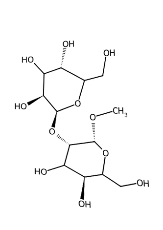 CO[C@@H]1OC(CO)[C@@H](O)C(O)[C@@H]1O[C@@H]1OC(CO)[C@@H](O)C(O)[C@@H]1O